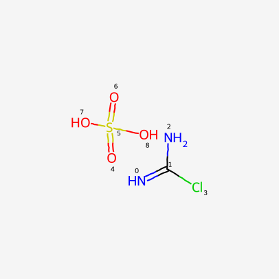 N=C(N)Cl.O=S(=O)(O)O